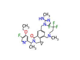 CCOc1cc(C(C)N2CC3(CC3)c3c(CN(C)CCC(F)(F)F)cc(Cn4ccnc4NC)cc3C2=O)ncc1F